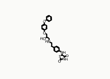 O=C1NC(=O)C(Nc2ccc(CCNCC(O)COc3ccc(Oc4ccccc4)cc3)cc2)S1